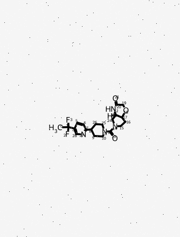 CC(F)(F)c1ccc(C2CCN(C(=O)N3CCC4OCC(=O)N[C@@H]4C3)CC2)nc1